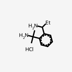 CCC(N)c1ccccc1C(C)(C)N.Cl